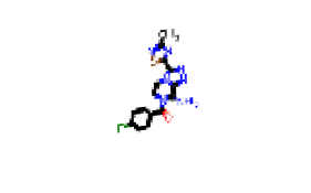 Cc1nsc(-c2nnc3n2CCN(C(=O)c2ccc(F)cc2)[C@@H]3N)n1